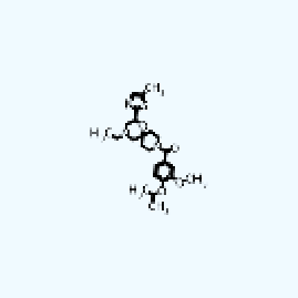 CCN1CC(c2ncc(C)s2)OC2(CCN(C(=O)c3ccc(OC(C)C)c(OC)c3)CC2)C1